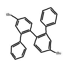 CC(C)(C)c1ccc(-c2ccc(C(C)(C)C)cc2-c2ccccc2)c(-c2ccccc2)c1